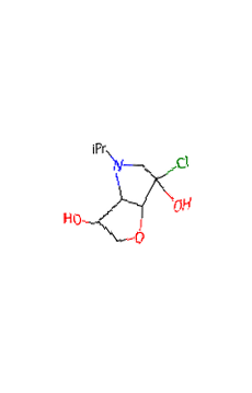 CC(C)N1CC(O)(Cl)C2OCC(O)C21